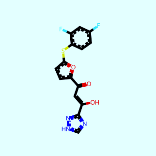 O=C(C=C(O)c1nc[nH]n1)c1ccc(Sc2ccc(F)cc2F)o1